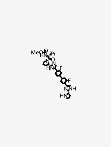 COC(=O)N[C@H](C(=O)N1CCC[C@H]1c1ncc(-c2ccc(-c3ccc(-c4c[nH]c([C@@H]5CCCN5)n4)c(F)c3)cc2F)[nH]1)C(C)C